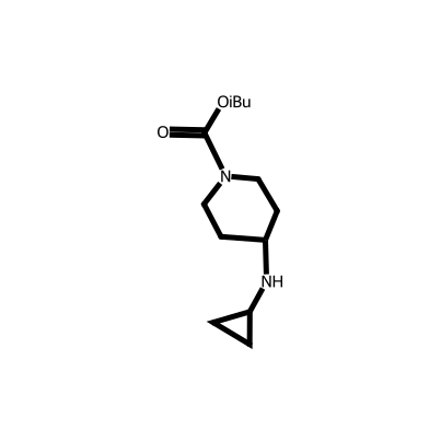 CC(C)COC(=O)N1CCC(NC2CC2)CC1